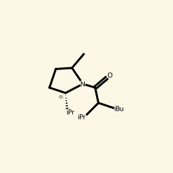 CCC(C)C(C(=O)N1C(C)CC[C@H]1C(C)C)C(C)C